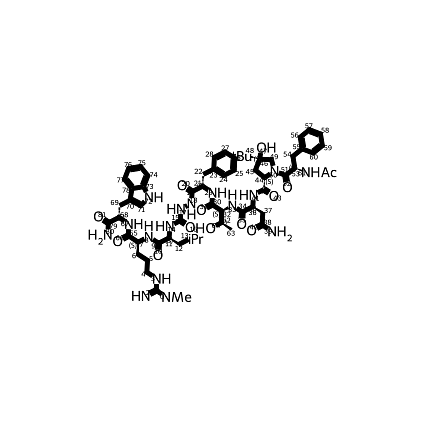 CNC(=N)NCCC[C@H](NC(=O)[C@H](CC(C)C)NC(=O)NNC(=O)[C@H](Cc1ccccc1)NC(=O)[C@@H](NC(=O)[C@H](CC(N)=O)NC(=O)[C@@H]1C[C@](O)(C(C)(C)C)CN1C(=O)[C@H](Cc1ccccc1)NC(C)=O)[C@@H](C)O)C(=O)N[C@@H](Cc1c[nH]c2ccccc12)C(N)=O